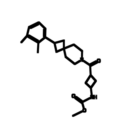 COC(=O)NC1CC(C(=O)N2CCC3(CC2)CC(c2cccc(C)c2C)C3)C1